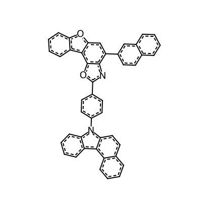 c1ccc2cc(-c3cc4oc5ccccc5c4c4oc(-c5ccc(-n6c7ccccc7c7c8ccccc8ccc76)cc5)nc34)ccc2c1